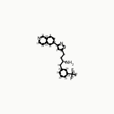 N[C@H](CCc1cc(-c2ccc3cnccc3c2)no1)Cc1cccc(C(F)(F)F)c1